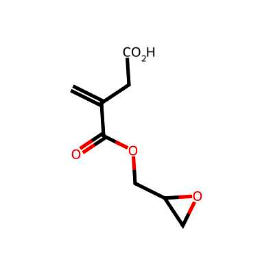 C=C(CC(=O)O)C(=O)OCC1CO1